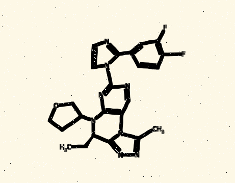 CC[C@@H]1c2nnc(C)n2-c2cnc(-n3ccnc3-c3ccc(F)c(F)c3)nc2N1C1CCOC1